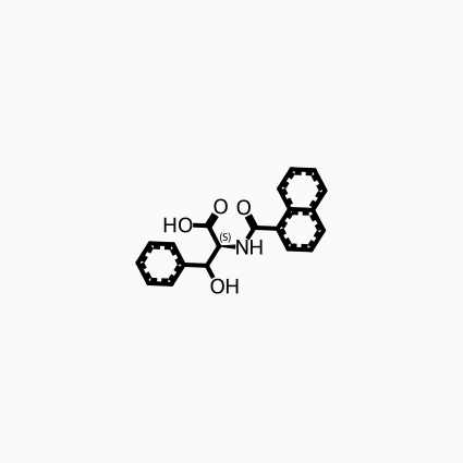 O=C(N[C@H](C(=O)O)C(O)c1ccccc1)c1cccc2ccccc12